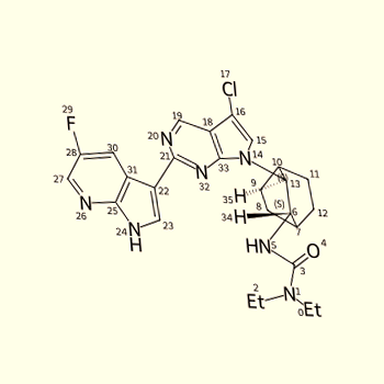 CCN(CC)C(=O)N[C@H]1C2CCC(CC2)[C@@H]1n1cc(Cl)c2cnc(-c3c[nH]c4ncc(F)cc34)nc21